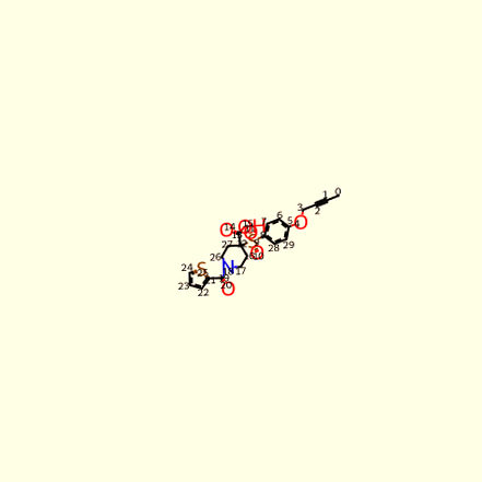 CC#CCOc1ccc(S(=O)(=O)C2(C(=O)O)CCN(C(=O)c3cccs3)CC2)cc1